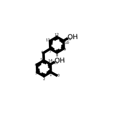 Cc1cccc(Cc2ccc(O)cc2)c1O